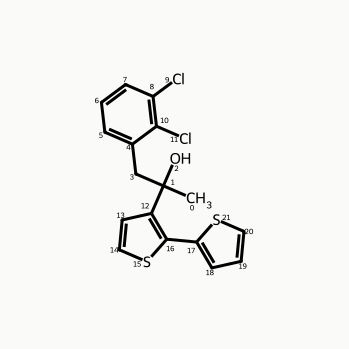 CC(O)(Cc1cccc(Cl)c1Cl)c1ccsc1-c1cccs1